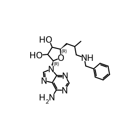 CC(CNCc1ccccc1)C[C@H]1O[C@@H](n2cnc3c(N)ncnc32)C(O)C1O